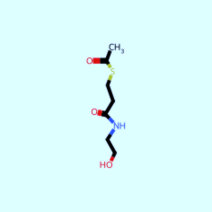 CC(=O)SCCC(=O)NCCO